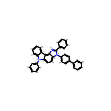 c1ccc(-c2ccc(-n3c(-c4ccccc4)nc4c5c6ccccc6n(-c6ccccc6)c5ccc43)cc2)cc1